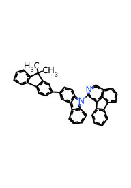 CC1(C)c2ccccc2-c2ccc(-c3ccc4c(c3)c3ccccc3n4-c3ncc4cccc5c4c3-c3ccccc3-5)cc21